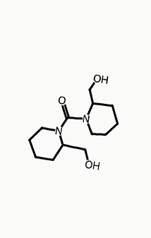 O=C(N1CCCCC1CO)N1CCCCC1CO